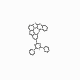 c1ccc(-c2nc(-c3ccccc3)nc(-c3cc4oc5c6ccccc6cc6oc7ccc8sc(c3)c4c8c7c65)n2)cc1